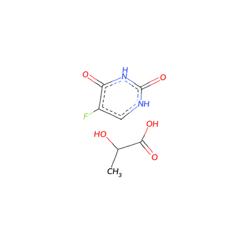 CC(O)C(=O)O.O=c1[nH]cc(F)c(=O)[nH]1